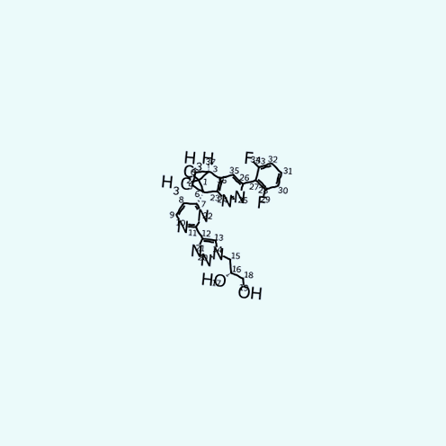 CC1(C)[C@H]2CC[C@]1(c1ccnc(-c3cn(C[C@@H](O)CO)nn3)n1)c1nnc(-c3c(F)cccc3F)cc12